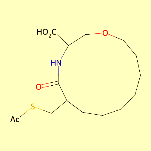 CC(=O)SCC1CCCCCCCOCC(C(=O)O)NC1=O